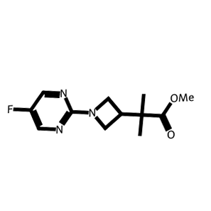 COC(=O)C(C)(C)C1CN(c2ncc(F)cn2)C1